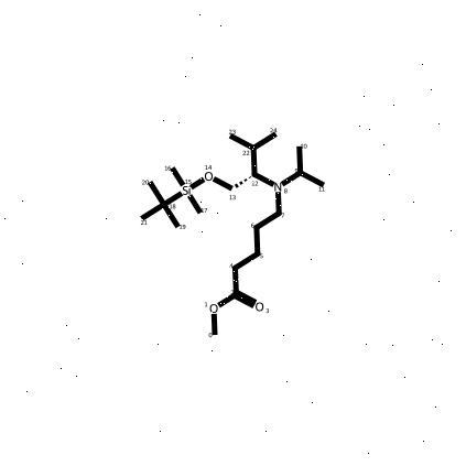 COC(=O)CCCCN(C(C)C)[C@H](CO[Si](C)(C)C(C)(C)C)C(C)C